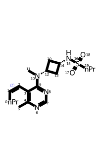 CCC/C=C\c1c(C)ncnc1N(C)[C@H]1C[C@@H](NS(=O)(=O)CCC)C1